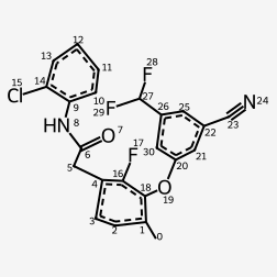 Cc1ccc(CC(=O)Nc2ccccc2Cl)c(F)c1Oc1cc(C#N)cc(C(F)F)c1